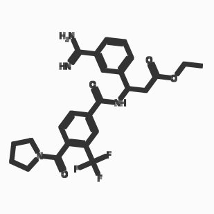 CCOC(=O)CC(NC(=O)c1ccc(C(=O)N2CCCC2)c(C(F)(F)F)c1)c1cccc(C(=N)N)c1